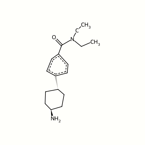 CCN(CC)C(=O)c1ccc([C@H]2CC[C@H](N)CC2)cc1